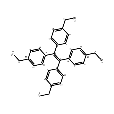 BrCc1ccc(C(=C(c2ccc(CBr)cc2)c2ccc(CBr)cc2)c2ccc(CBr)cc2)cc1